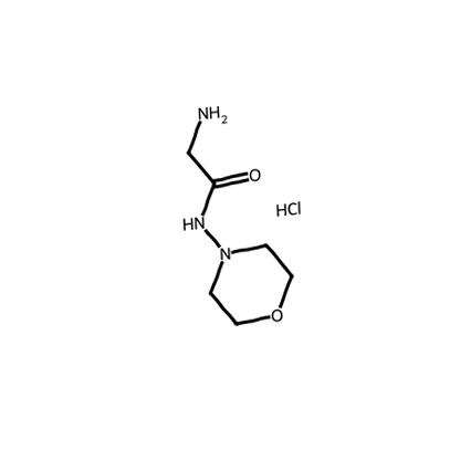 Cl.NCC(=O)NN1CCOCC1